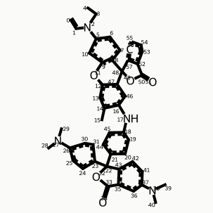 C=CN(CC)c1ccc2c(c1)Oc1cc(C)c(Nc3ccc(C4(c5ccc(N(C)C)cc5)OC(=O)c5cc(N(C)C)ccc54)cc3)cc1C21OC(=O)c2ccccc21